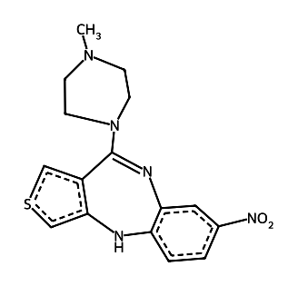 CN1CCN(C2=Nc3cc([N+](=O)[O-])ccc3Nc3cscc32)CC1